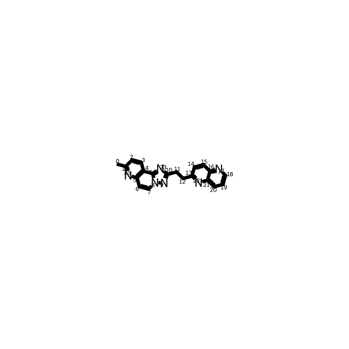 Cc1ccc2c(ccn3nc(CCc4ccc5ncccc5n4)nc23)n1